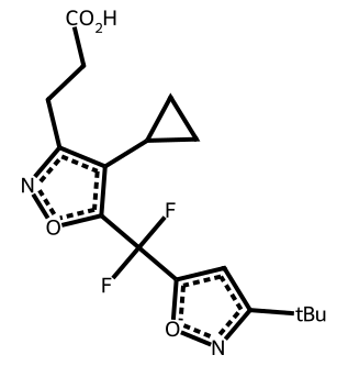 CC(C)(C)c1cc(C(F)(F)c2onc(CCC(=O)O)c2C2CC2)on1